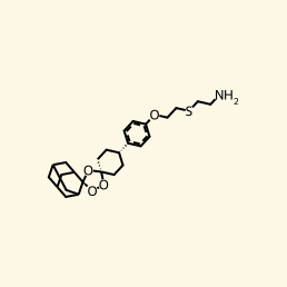 NCCSCCOc1ccc([C@H]2CC[C@]3(CC2)OO[C@]2(O3)C3CC4CC(C3)CC2C4)cc1